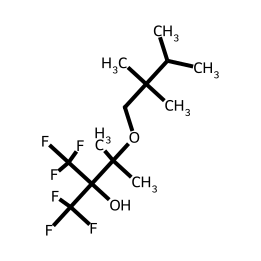 CC(C)C(C)(C)COC(C)(C)C(O)(C(F)(F)F)C(F)(F)F